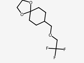 FC(F)(F)COCC1CCC2(CC1)OCCO2